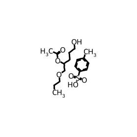 CCCOCC(CCCO)OC(C)=O.Cc1ccc(S(=O)(=O)O)cc1